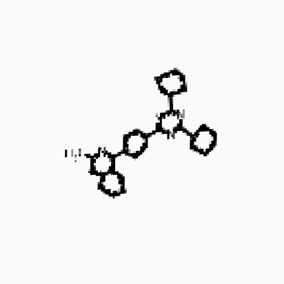 Cc1cc2ccccc2c(-c2ccc(-c3nc(-c4ccccc4)nc(-c4ccccc4)n3)cc2)n1